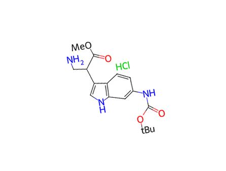 COC(=O)C(CN)c1c[nH]c2cc(NC(=O)OC(C)(C)C)ccc12.Cl